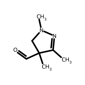 CC1=NN(C)CC1(C)C=O